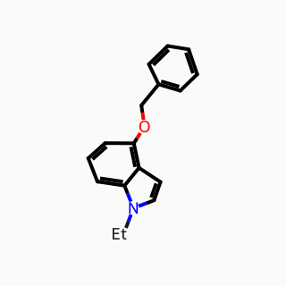 CCn1ccc2c(OCc3ccccc3)cccc21